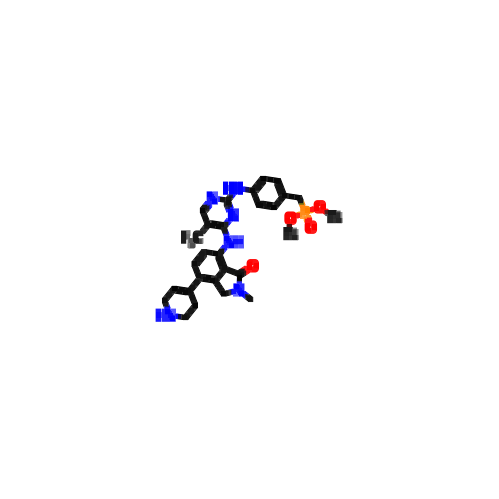 CCOP(=O)(Cc1ccc(Nc2ncc(C(F)(F)F)c(Nc3ccc(C4=CCNCC4)c4c3C(=O)N(C)C4)n2)cc1)OCC